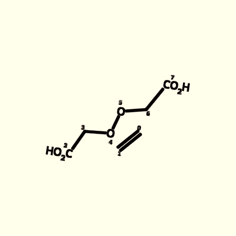 C=C.O=C(O)COOCC(=O)O